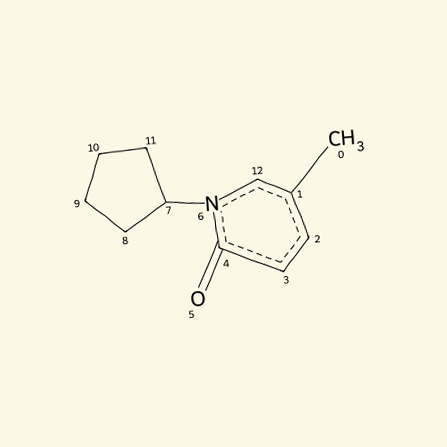 Cc1ccc(=O)n(C2CCCC2)c1